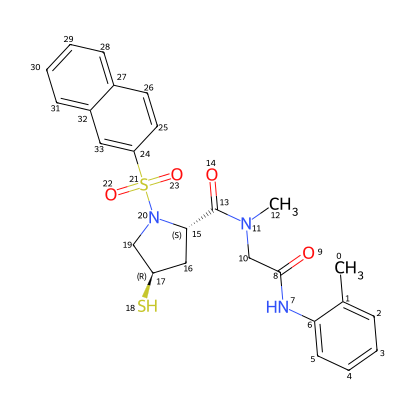 Cc1ccccc1NC(=O)CN(C)C(=O)[C@@H]1C[C@@H](S)CN1S(=O)(=O)c1ccc2ccccc2c1